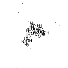 C=C[C@H]1C[N@]2CC[C@H]1C[C@H]2[C@H](O)c1ccnc2ccc(OC)cc12.C=C[C@H]1C[N@]2CC[C@H]1C[C@H]2[C@H](O)c1ccnc2ccc(OC)cc12.C=C[C@H]1C[N@]2CC[C@H]1C[C@H]2[C@H](O)c1ccnc2ccc(OC)cc12.O=S(=O)(O)O